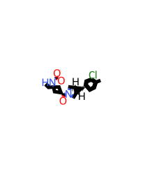 C=C[C@]1(NC(=O)OC)C[C@@H](C(=O)N2C[C@@H]3[C@H](C2)[C@H]3c2ccc(C)c(Cl)c2)C1